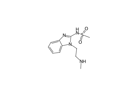 CNCCn1c(NS(C)(=O)=O)nc2ccccc21